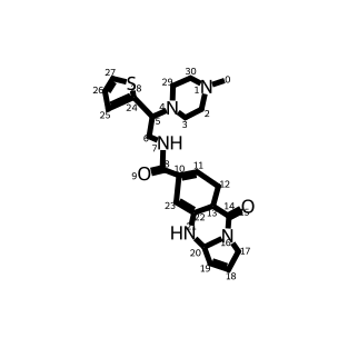 CN1CCN(C(CNC(=O)C2=CCC3C(=O)N4CC=CC4NC3=C2)c2cccs2)CC1